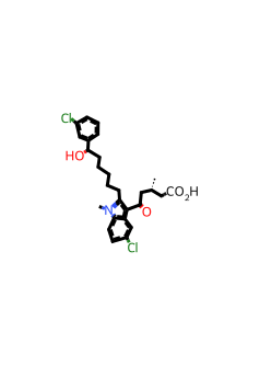 C[C@H](CC(=O)O)CC(=O)c1c(CCCCCC(O)c2cccc(Cl)c2)n(C)c2ccc(Cl)cc12